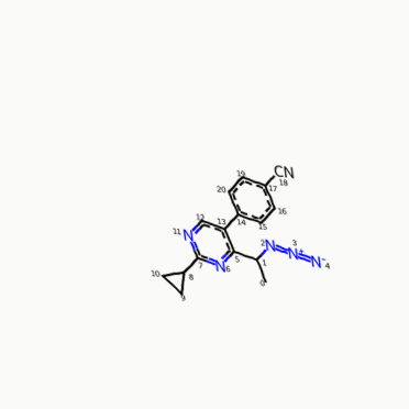 CC(N=[N+]=[N-])c1nc(C2CC2)ncc1-c1ccc(C#N)cc1